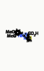 COc1ccc(CNc2nc(C(=O)O)c3sccc3n2)cc1OC